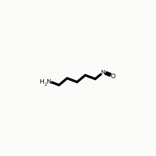 NCCCCCN=O